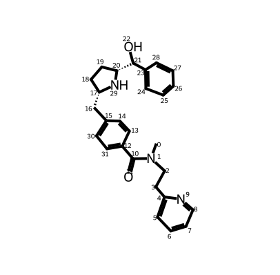 CN(CCc1ccccn1)C(=O)c1ccc(C[C@@H]2CC[C@H](C(O)c3ccccc3)N2)cc1